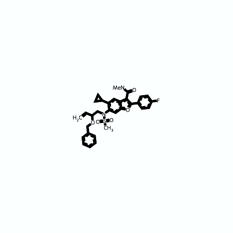 C=CC(CN(c1cc2oc(-c3ccc(F)cc3)c(C(=O)NC)c2cc1C1CC1)S(C)(=O)=O)OCc1ccccc1